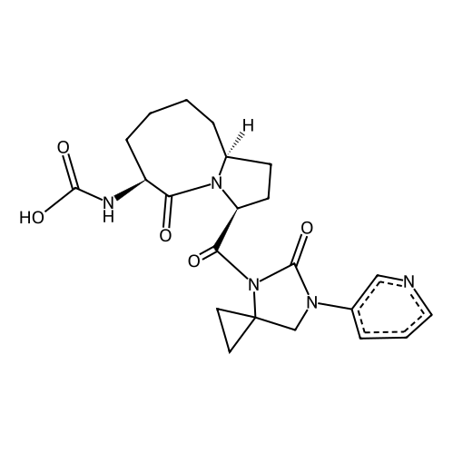 O=C(O)N[C@H]1CCCC[C@H]2CC[C@@H](C(=O)N3C(=O)N(c4cccnc4)CC34CC4)N2C1=O